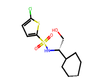 O=S(=O)(N[C@H](CO)C1CCCCC1)c1ccc(Cl)s1